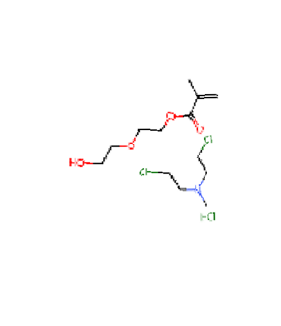 C=C(C)C(=O)OCCOCCO.CN(CCCl)CCCl.Cl